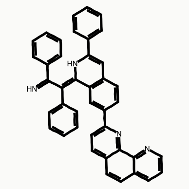 N=C(/C(=C1\NC(c2ccccc2)=Cc2ccc(-c3ccc4ccc5cccnc5c4n3)cc21)c1ccccc1)c1ccccc1